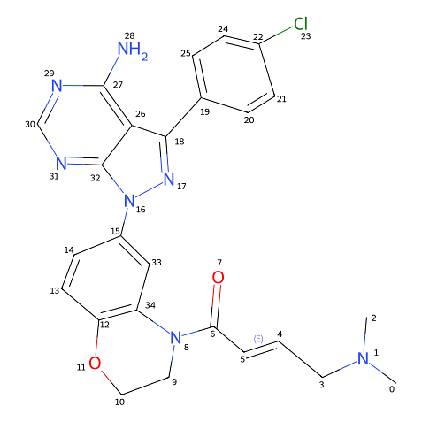 CN(C)C/C=C/C(=O)N1CCOc2ccc(-n3nc(-c4ccc(Cl)cc4)c4c(N)ncnc43)cc21